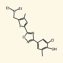 CCN(CC)Cc1sc(-c2nc(-c3cc(C)c(O)c(Cl)c3)no2)cc1C